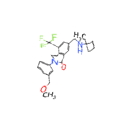 COCc1cccc(N2Cc3c(cc(CNC4(C)CCC4)cc3C(F)(F)F)C2=O)c1